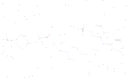 CC(=O)c1ccc(OC(C)C(=O)OCCN2CCN(CCCN3c4ccccc4Sc4ccc(C(F)(F)F)cc43)CC2)cc1